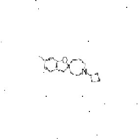 Cc1ccc2c(c1)OC1(CCCN(C3CCC3)CC1)C2